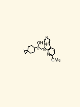 COc1ccc2c(n1)[C@@H](C[C@H](O)C1CCC3(CC1)CC3)n1cncc1-2